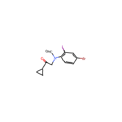 O=CN(CC(=O)C1CC1)c1ccc(Br)cc1I